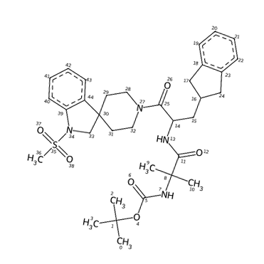 CC(C)(C)OC(=O)NC(C)(C)C(=O)NC(CC1Cc2ccccc2C1)C(=O)N1CCC2(CC1)CN(S(C)(=O)=O)c1ccccc12